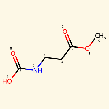 COC(=O)CCNC(=O)O